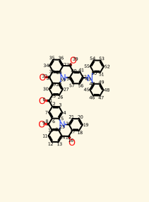 O=C(c1ccc2c(c1)c(=O)c1cccc3c(=O)c4ccccc4n2c31)c1ccc2c(c1)c(=O)c1cccc3c(=O)c4cc(N(c5ccccc5)c5ccccc5)ccc4n2c13